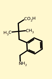 CC(C)(CC(=O)O)Cc1ccccc1CN